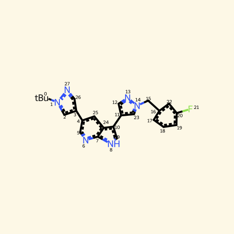 CC(C)(C)n1cc(-c2cnc3[nH]cc(-c4cnn(Cc5cccc(F)c5)c4)c3c2)cn1